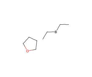 C1CCOC1.CC[B]CC